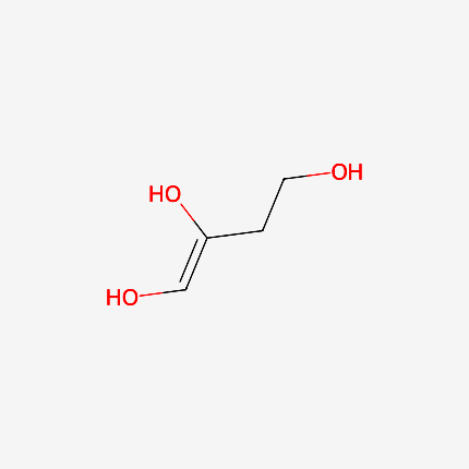 OC=C(O)CCO